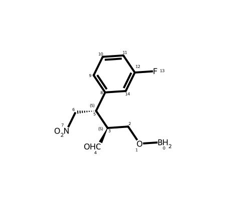 BOC[C@@H](C=O)[C@H](C[N+](=O)[O-])c1cccc(F)c1